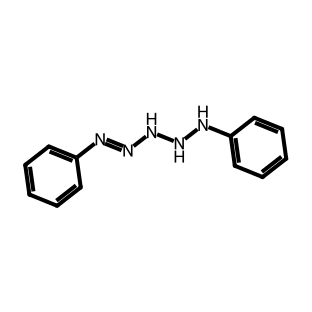 c1ccc(N=NNNNc2ccccc2)cc1